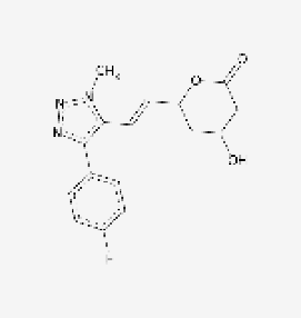 Cn1nnc(-c2ccc(F)cc2)c1C=CC1CC(O)CC(=O)O1